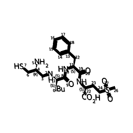 CC[C@H](C)[C@H](NC[C@@H](N)CS)C(=O)N[C@@H](Cc1ccccc1)C(=O)N[C@@H](CCS(C)(=O)=O)C(=O)O